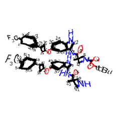 CC(C)(C)OC(=O)N1CC(C)(C(=O)Nc2c[nH]c3ccc(O[C@H]4C[C@H](c5ccc(C(F)(F)F)cc5)C4)cc23)C1.CC1(C(=O)Nc2c[nH]c3ccc(O[C@H]4C[C@H](c5ccc(C(F)(F)F)cc5)C4)cc23)CNC1